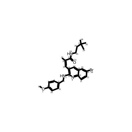 COc1ccc(CNc2nc3ccc(Br)cc3cc2C=C(C)C(=O)NCCC(C)(C)C)cc1